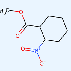 COC(=O)C1CCCCC1[N+](=O)[O-]